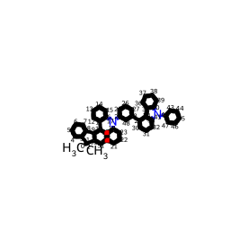 CC1(C)c2ccccc2-c2c(-c3ccccc3N(c3ccccc3)c3cccc(-c4cccc5c4c4ccccc4n5-c4ccccc4)c3)cccc21